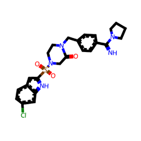 N=C(c1ccc(CN2CCN(S(=O)(=O)c3cc4ccc(Cl)cc4[nH]3)CC2=O)cc1)N1CCCC1